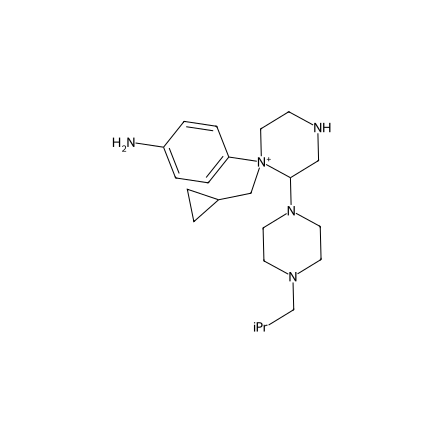 CC(C)CN1CCN(C2CNCC[N+]2(CC2CC2)c2ccc(N)cc2)CC1